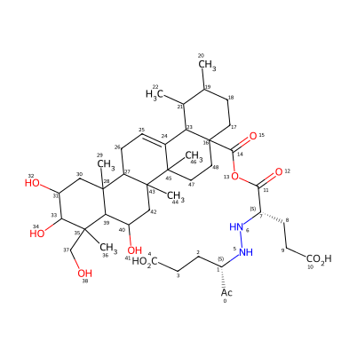 CC(=O)[C@H](CCC(=O)O)NN[C@@H](CCC(=O)O)C(=O)OC(=O)C12CCC(C)C(C)C1C1=CCC3C4(C)CC(O)C(O)C(C)(CO)C4C(O)CC3(C)C1(C)CC2